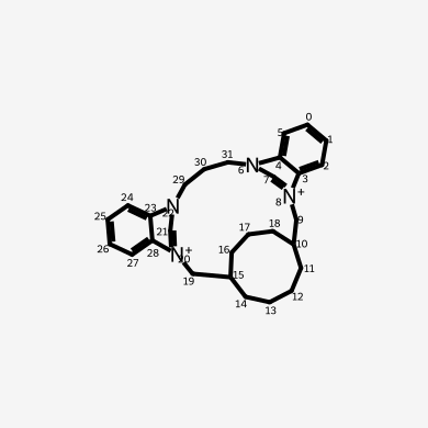 c1ccc2c(c1)n1c[n+]2CC2CCCCC(CCC2)C[n+]2cn(c3ccccc32)CCC1